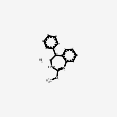 CSC1=Nc2ccccc2C(c2ccccc2)CN1.I